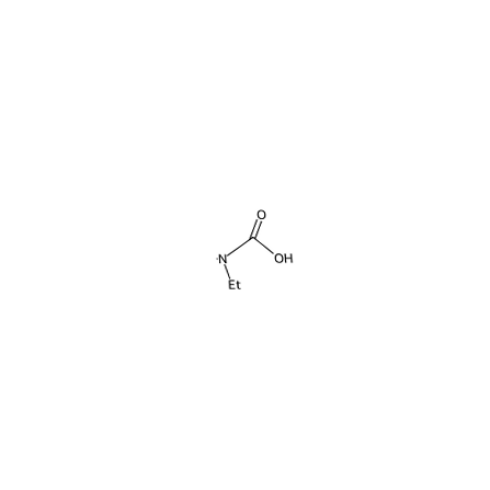 [CH2]C[N]C(=O)O